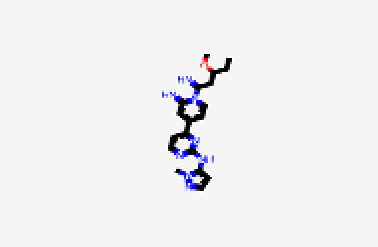 CCC(CC(=N)n1ccc(-c2ccnc(Nc3ccnn3C)n2)cc1=N)OC